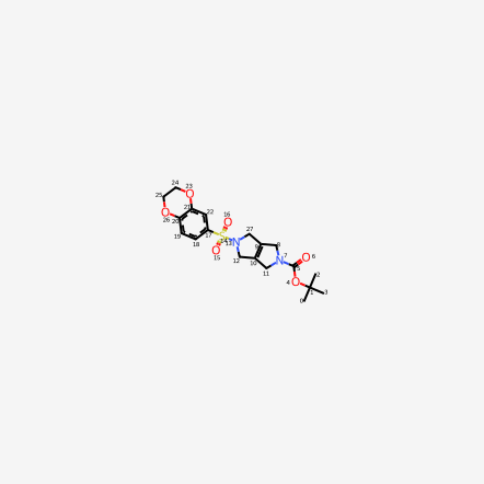 CC(C)(C)OC(=O)N1CC2=C(C1)CN(S(=O)(=O)c1ccc3c(c1)OCCO3)C2